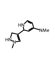 CNC1=CC(C2=CN(C)NC2)NC=C1